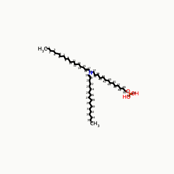 CCCCCCCCCCCCCCCCC=CN(C=CCCCCCCCCCCCCCCCC)CCCCCCCCCCCCCCOP(O)O